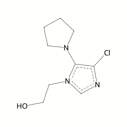 OCCn1cnc(Cl)c1N1CCCC1